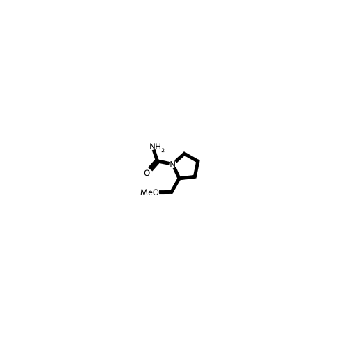 COCC1CCCN1C(N)=O